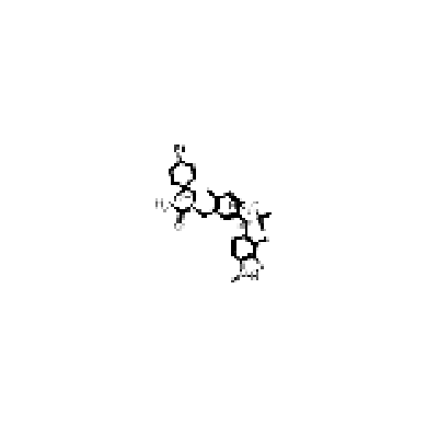 CCC1CCC(O)(CN(Cc2cc([C@@H](c3ccc4c(nnn4C)c3C)C(C)(C)C(=O)O)ccc2C)C(N)=O)CC1